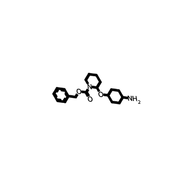 NC1CCC(OC2CCCCN2C(=O)OCc2ccccc2)CC1